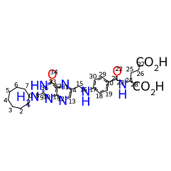 C1CCCCCCC1.Nc1nc2ncc(CNc3ccc(C(=O)NC(CCC(=O)O)C(=O)O)cc3)nc2c(=O)[nH]1